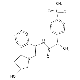 CC(C(=O)NC(CN1CCC(O)C1)c1ccccc1)c1ccc(S(C)(=O)=O)cc1